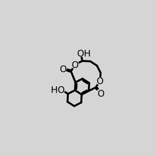 O=C1OCCCC(O)OC(=O)c2ccc1c1c2C(O)CCC1